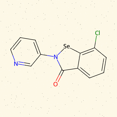 O=c1c2cccc(Cl)c2[se]n1-c1cccnc1